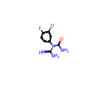 N=C(N)N(C(N)=O)c1ccc(F)c(Cl)c1